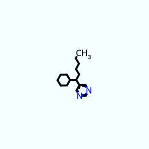 CCCCCC(c1cncnc1)C1CCCCC1